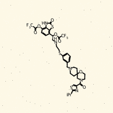 CC(C)c1nc(C(=O)N2CCOC3(CCN(Cc4cccc(SCCNC[C@H](OC(=O)C(F)(F)F)c5ccc(OC(=O)C(F)(F)F)c6[nH]c(=O)sc56)c4)CC3)C2)cs1